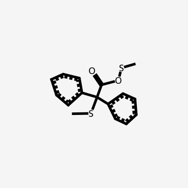 CSOC(=O)C(SC)(c1ccccc1)c1ccccc1